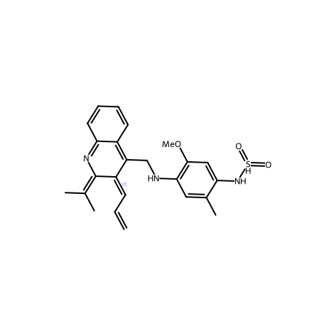 C=C/C=c1/c(CNc2cc(C)c(N[SH](=O)=O)cc2OC)c2ccccc2nc1=C(C)C